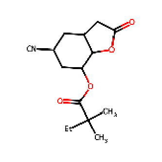 [C-]#[N+]C1CC2CC(=O)OC2C(OC(=O)C(C)(C)CC)C1